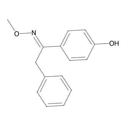 CO/N=C(\Cc1ccccc1)c1ccc(O)cc1